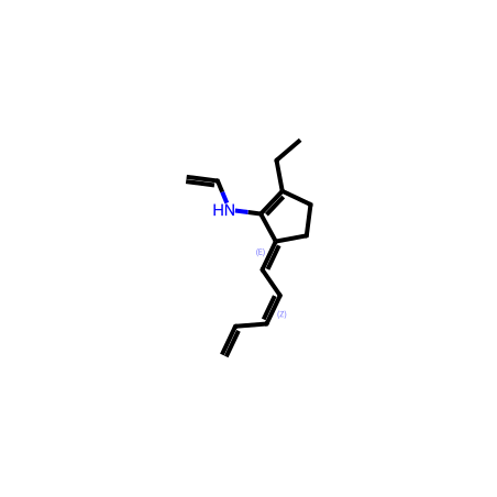 C=C/C=C\C=C1/CCC(CC)=C1NC=C